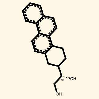 OC[C@@H](O)C1CCc2c(ccc3c2ccc2ccccc23)C1